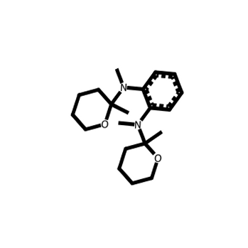 CN(c1ccccc1N(C)C1(C)CCCCO1)C1(C)CCCCO1